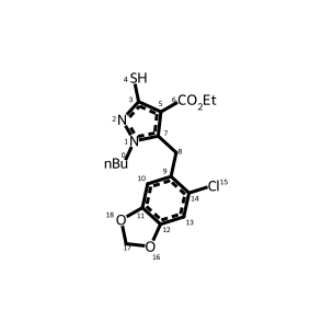 CCCCn1nc(S)c(C(=O)OCC)c1Cc1cc2c(cc1Cl)OCO2